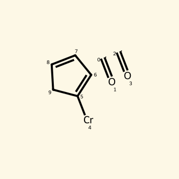 [C]=O.[C]=O.[Cr][C]1=CC=CC1